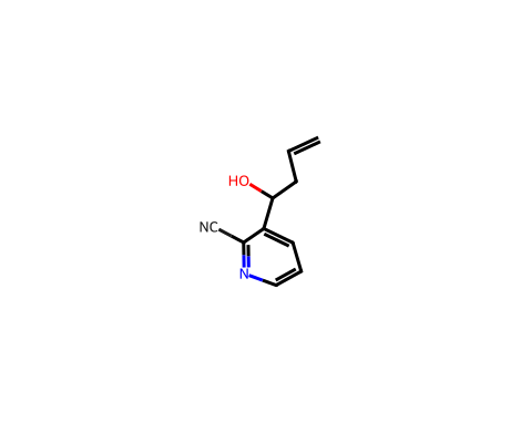 C=CCC(O)c1cccnc1C#N